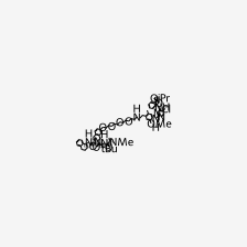 CN[C@@H](C)C(=O)N[C@H](C(=O)N1Cc2cc(OCCOCCOCCOCCNCCc3cc(OC)c(Nc4ncc(Cl)c(Nc5ccccc5S(=O)(=O)C(C)C)n4)cc3C)ccc2C[C@H]1C(=O)N[C@H]1CCCc2ccccc21)C(C)(C)C